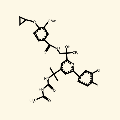 COc1cc(C(=O)NCC(O)(c2cc(C(C)(C)NC(=O)NC(=O)C(Cl)(Cl)Cl)cc(-c3ccc(F)c(Cl)c3)n2)C(F)(F)F)ccc1OC1CC1